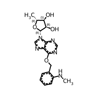 CNc1ccccc1COc1ncnc2c1ncn2[C@@H]1O[C@H](C)[C@@H](O)[C@H]1O